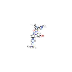 Cc1cc(C(=O)Nc2nc3ccc(N4CCN(CCN(C)C)CC4)cc3n2[C@H]2CC[C@@H](O)CC2)c(F)c(-c2cnn(C)c2)n1